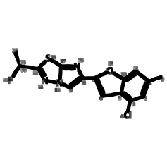 Cc1cc(Cl)c2cc(-c3cn4nc([C@H](C)F)sc4n3)oc2c1